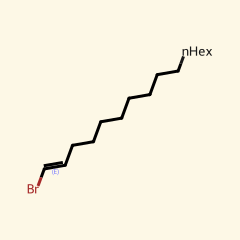 CCCCCCCCCCCCCC/C=C/Br